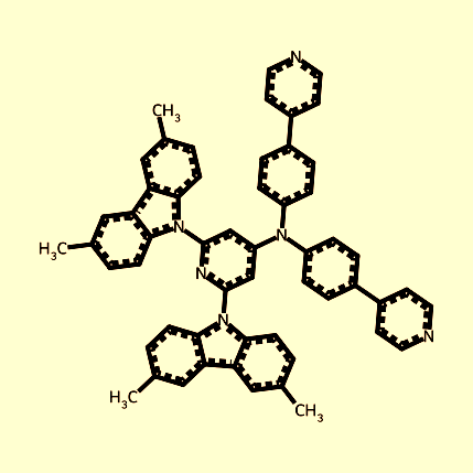 Cc1ccc2c(c1)c1cc(C)ccc1n2-c1cc(N(c2ccc(-c3ccncc3)cc2)c2ccc(-c3ccncc3)cc2)cc(-n2c3ccc(C)cc3c3cc(C)ccc32)n1